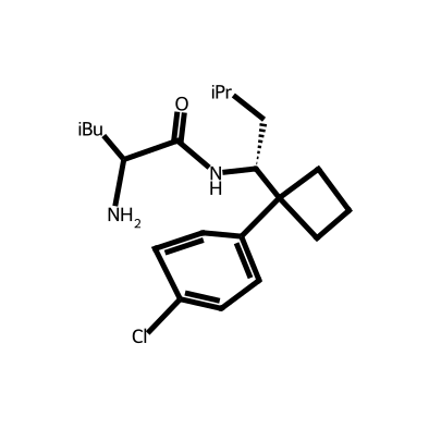 CCC(C)C(N)C(=O)N[C@H](CC(C)C)C1(c2ccc(Cl)cc2)CCC1